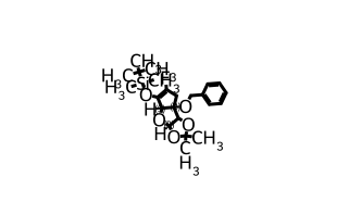 CC1(C)OC2[C@H](O[C@@H]3C(O[Si](C)(C)C(C)(C)C)=C(F)C[C@]23OCc2ccccc2)O1